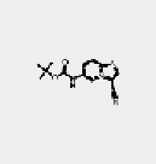 CC(C)(C)OC(=O)Nc1ccc2ncc(C#N)n2c1